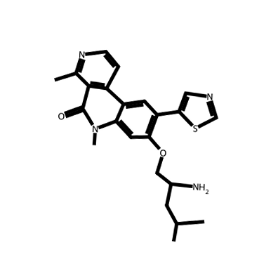 Cc1nccc2c1c(=O)n(C)c1cc(OCC(N)CC(C)C)c(-c3cncs3)cc21